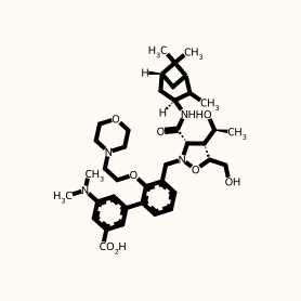 CC1C2C[C@H](C[C@@H]1NC(=O)[C@@H]1[C@H]([C@H](C)O)C(CO)ON1Cc1cccc(-c3cc(C(=O)O)cc(N(C)C)c3)c1OCCN1CCOCC1)C2(C)C